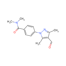 Cc1nn(-c2ccc(C(=O)N(C)C)cc2)c(C)c1C=O